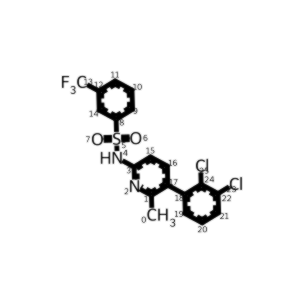 Cc1nc(NS(=O)(=O)c2cccc(C(F)(F)F)c2)ccc1-c1cccc(Cl)c1Cl